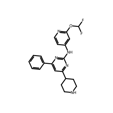 FC(F)Oc1cc(Nc2nc(-c3ccccc3)cc(C3CCNCC3)n2)ccn1